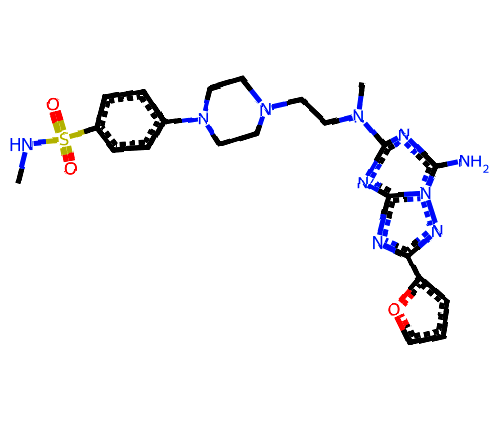 CNS(=O)(=O)c1ccc(N2CCN(CCN(C)c3nc(N)n4nc(-c5ccco5)nc4n3)CC2)cc1